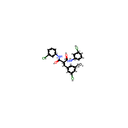 O=C(Nc1cccc(Cl)c1)C(=Cc1cc(Cl)cc([N+](=O)[O-])c1)C(=O)Nc1cccc(Cl)c1